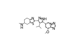 CNC1CCc2nc(-c3n[nH]c(-c4cc(OC)c5ncnn5c4)c3C(C)C)sc2C1